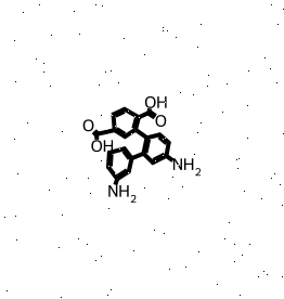 Nc1cccc(-c2cc(N)ccc2-c2cc(C(=O)O)ccc2C(=O)O)c1